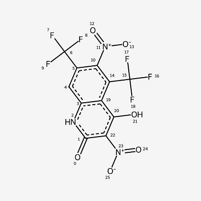 O=c1[nH]c2cc(C(F)(F)F)c([N+](=O)[O-])c(C(F)(F)F)c2c(O)c1[N+](=O)[O-]